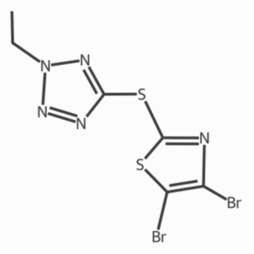 CCn1nnc(Sc2nc(Br)c(Br)s2)n1